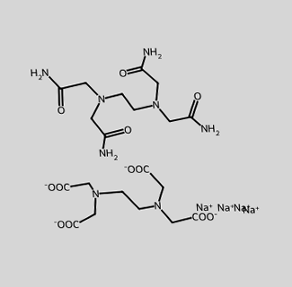 NC(=O)CN(CCN(CC(N)=O)CC(N)=O)CC(N)=O.O=C([O-])CN(CCN(CC(=O)[O-])CC(=O)[O-])CC(=O)[O-].[Na+].[Na+].[Na+].[Na+]